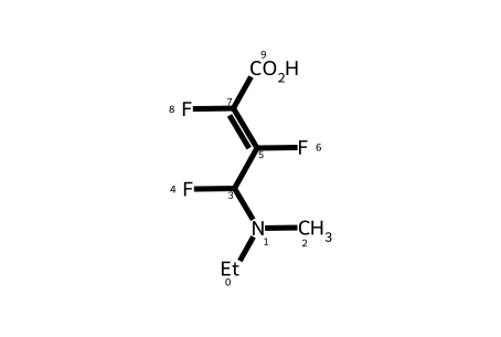 CCN(C)C(F)/C(F)=C(\F)C(=O)O